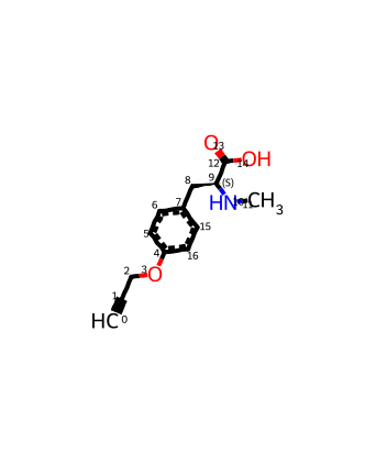 C#CCOc1ccc(C[C@H](NC)C(=O)O)cc1